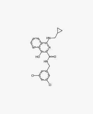 O=C(NCc1cc(Cl)cc(Cl)c1)c1nc(NCC2CC2)c2cccnc2c1O